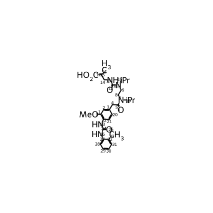 COc1cc(CC(=O)N(CCN(C(=O)NCC(C)C(=O)O)C(C)C)C(C)C)ccc1NC(=O)Nc1ccccc1C